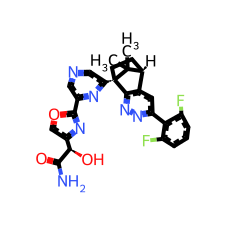 CC1(C)[C@H]2CC[C@]1(c1cncc(-c3nc([C@@H](O)C(N)=O)co3)n1)c1nnc(-c3c(F)cccc3F)cc12